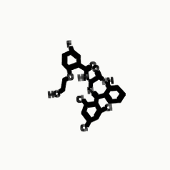 O=C(N[C@H]1N=C(c2c(Cl)cc(Cl)cc2Cl)c2ccccc2NC1=O)c1cc(F)ccc1OCCO